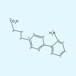 Nc1ccccc1-c1ccc(CCCC(=O)O)cc1